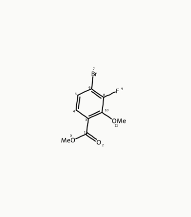 COC(=O)c1ccc(Br)c(F)c1OC